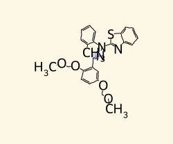 COCOc1ccc(OCOC)c(/C=N/N(c2nc3ccccc3s2)c2ccccc2C)c1